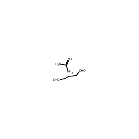 N=C(N)N.O=CCCCC=O